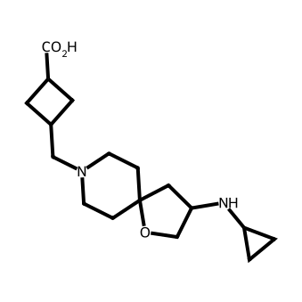 O=C(O)C1CC(CN2CCC3(CC2)CC(NC2CC2)CO3)C1